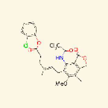 COc1c(C)c2c(c(NC(=O)C(Cl)(Cl)Cl)c1C/C=C(\C)CCC(=O)Oc1ccccc1Cl)C(=O)OC2